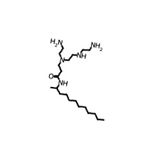 CCCCCCCCCCC(C)NC(=O)CCN(CCN)CCNCCN